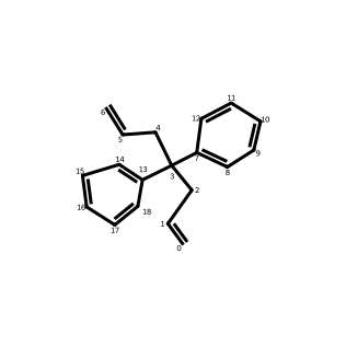 C=CCC(CC=C)(c1ccccc1)c1ccccc1